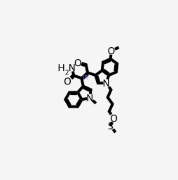 COc1ccc2c(c1)c(/C(C=O)=C(/C(N)=O)c1cn(C)c3ccccc13)cn2CCCCOSC